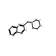 c1ccc2nc(CN3CCCCC3)ccc2c1